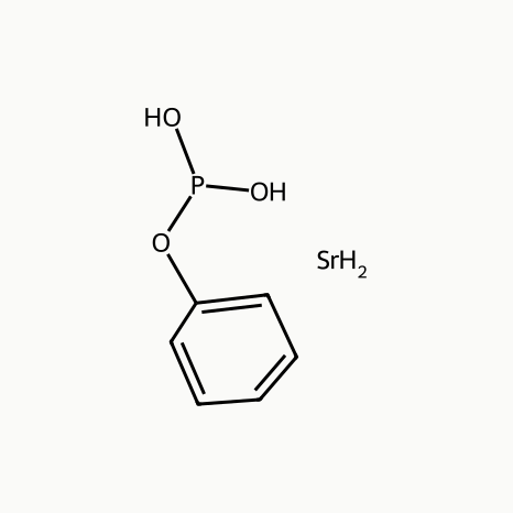 OP(O)Oc1ccccc1.[SrH2]